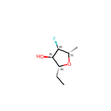 CC[C@H]1O[C@@H](C)[C@H](F)[C@@H]1O